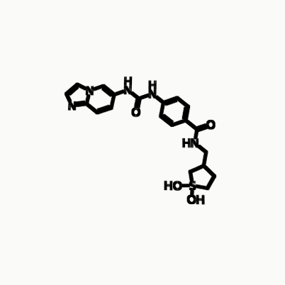 O=C(Nc1ccc(C(=O)NCC2CCS(O)(O)C2)cc1)Nc1ccc2nccn2c1